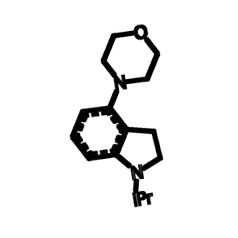 CC(C)N1CCc2c(N3CCOCC3)cccc21